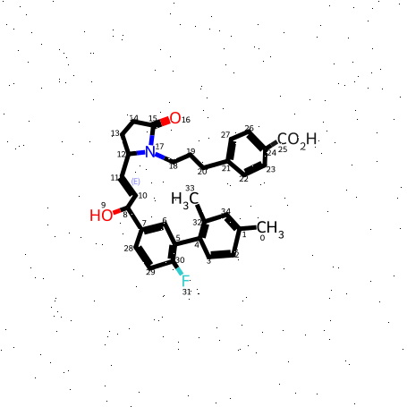 Cc1ccc(-c2cc(C(O)/C=C/C3CCC(=O)N3CCCc3ccc(C(=O)O)cc3)ccc2F)c(C)c1